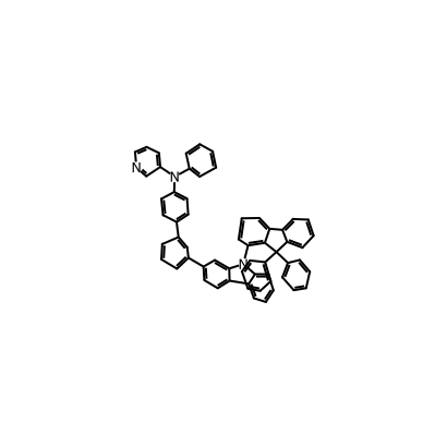 c1ccc(N(c2ccc(-c3cccc(-c4ccc5c6ccccc6n(-c6cccc7c6C(c6ccccc6)(c6ccccc6)c6ccccc6-7)c5c4)c3)cc2)c2cccnc2)cc1